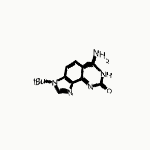 CC(C)(C)n1cnc2c3nc(=O)[nH]c(N)c3ccc21